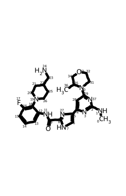 CNc1nc(-c2c[nH]c(C(=O)Nc3cccc(F)c3N3CCC(CN)CC3)n2)cc(N2CCOCC2C)n1